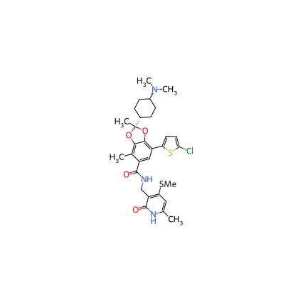 CSc1cc(C)[nH]c(=O)c1CNC(=O)c1cc(-c2ccc(Cl)s2)c2c(c1C)OC(C)([C@H]1CC[C@H](N(C)C)CC1)O2